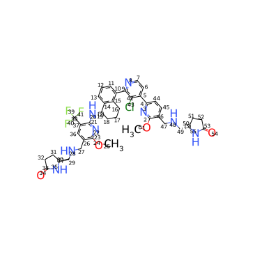 COc1nc(-c2ccnc(-c3cccc4c3CCC[C@@H]4Nc3nc(OC)c(CNC[C@@H]4CCC(=O)N4)cc3C(F)(F)F)c2Cl)ccc1CNC[C@@H]1CCC(=O)N1